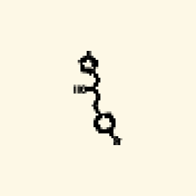 OC(CCc1ccc(Br)cc1)Cn1ccnc1